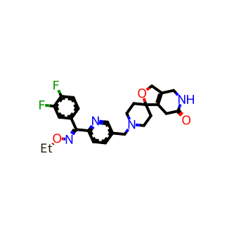 CCON=C(c1ccc(F)c(F)c1)c1ccc(CN2CCC3(CC2)OCC2=C3CC(=O)NC2)cn1